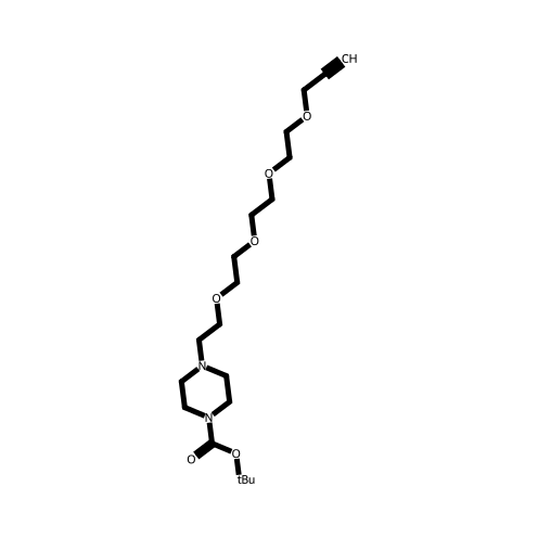 C#CCOCCOCCOCCOCCN1CCN(C(=O)OC(C)(C)C)CC1